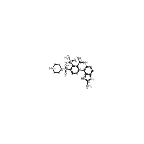 N=C(N)c1c(-c2cccc3nc(N)[nH]c23)ccc(S(=O)(=O)C2CCNCC2)c1S(N)(=O)=O